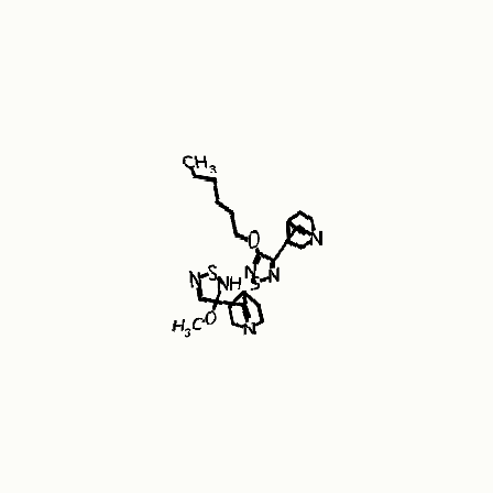 CCCCCCOc1nsnc1C1=CN2CCC1CC2.COC1(C2=CN3CCC2CC3)C=NSN1